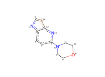 c1nc2ccc(N3CCOCC3)nc2s1